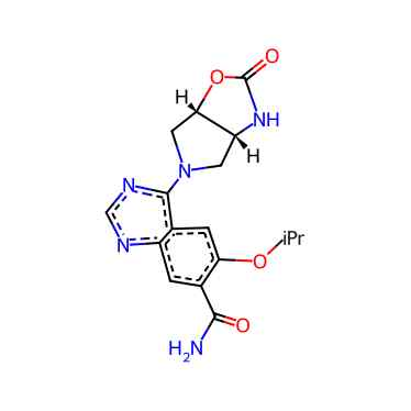 CC(C)Oc1cc2c(N3C[C@@H]4OC(=O)N[C@@H]4C3)ncnc2cc1C(N)=O